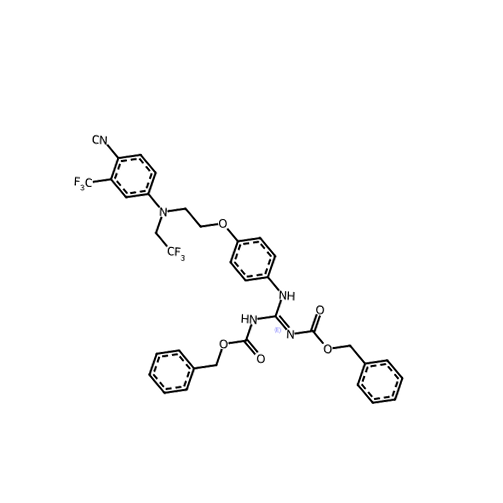 [C-]#[N+]c1ccc(N(CCOc2ccc(N/C(=N\C(=O)OCc3ccccc3)NC(=O)OCc3ccccc3)cc2)CC(F)(F)F)cc1C(F)(F)F